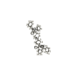 O=C(Nc1ccc(N2CCC(C(C(=O)NCc3ccccc3)c3ccccc3)CC2)cc1)c1ccccc1C(=O)c1ccccc1